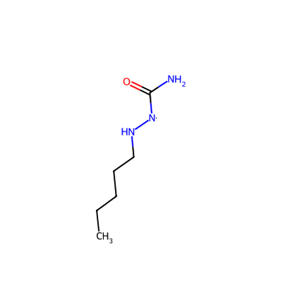 CCCCCN[N]C(N)=O